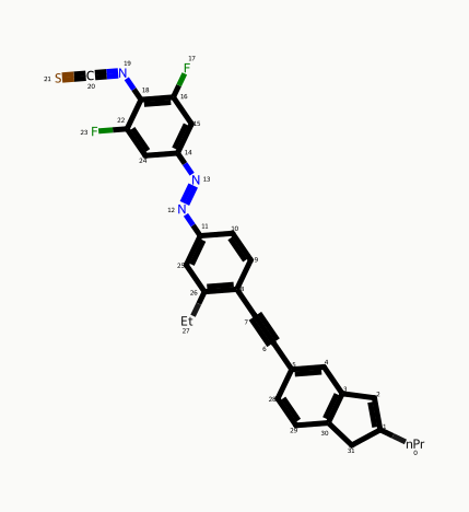 CCCC1=Cc2cc(C#Cc3ccc(N=Nc4cc(F)c(N=C=S)c(F)c4)cc3CC)ccc2C1